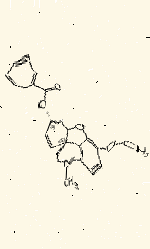 COc1ccc2c3c1OC1C[C@@H](OC(=O)c4ccccc4)C=C[C@@]31CCN2C